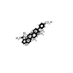 C=C(C)[C@@H]1CC[C@]2(CC)CC[C@]3(C)[C@H](CC[C@@H]4[C@@]5(C)CC=C(c6ccc(C(=O)O)cc6)C(C)(C)[C@@H]5CC[C@]43C)[C@@H]12